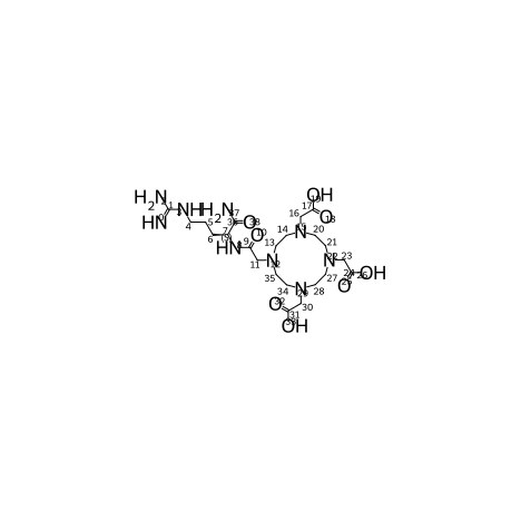 N=C(N)NCCC[C@H](NC(=O)CN1CCN(CC(=O)O)CCN(CC(=O)O)CCN(CC(=O)O)CC1)C(N)=O